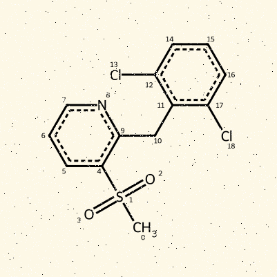 CS(=O)(=O)c1cccnc1Cc1c(Cl)cccc1Cl